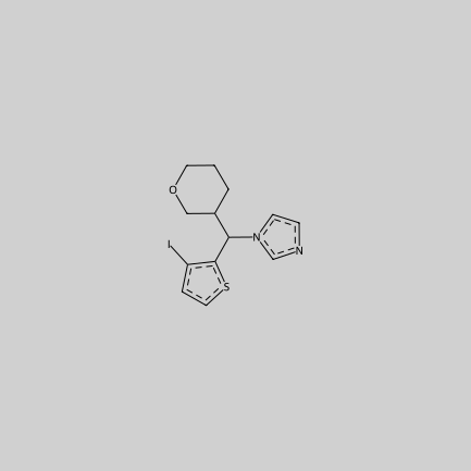 Ic1ccsc1C(C1CCCOC1)n1ccnc1